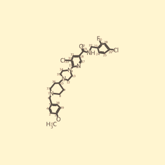 COc1ccc(CN2CCC(N3CCN(c4ncc(C(=O)NCc5ccc(Cl)cc5F)cc4Cl)CC3)CC2)cc1